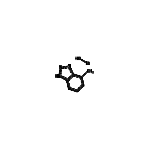 CCO.Cc1cccc2[nH]nnc12